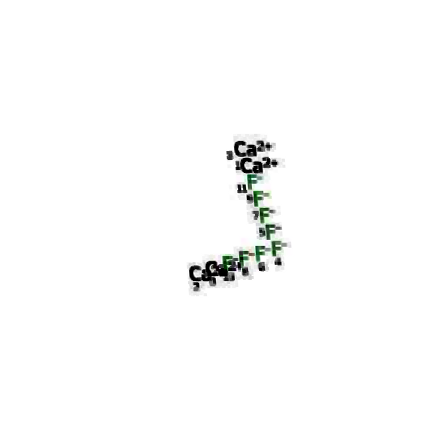 [Ca+2].[Ca+2].[Ca+2].[Ca+2].[F-].[F-].[F-].[F-].[F-].[F-].[F-].[F-]